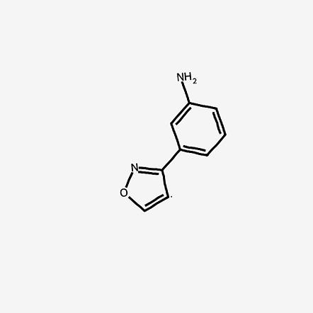 Nc1cccc(-c2[c]con2)c1